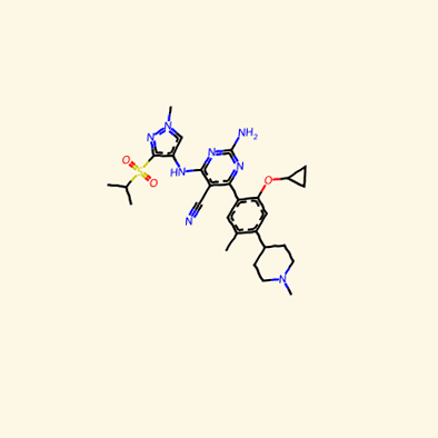 Cc1cc(-c2nc(N)nc(Nc3cn(C)nc3S(=O)(=O)C(C)C)c2C#N)c(OC2CC2)cc1C1CCN(C)CC1